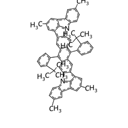 Cc1ccc2c(c1)c1cc(C)cc3c4cc5c(-c6ccccc6C(C)(C)C)c6cc7c(cc6c(-c6ccccc6C(C)(C)C)c5cc4n2c13)c1cc(C)cc2c3cc(C)ccc3n7c21